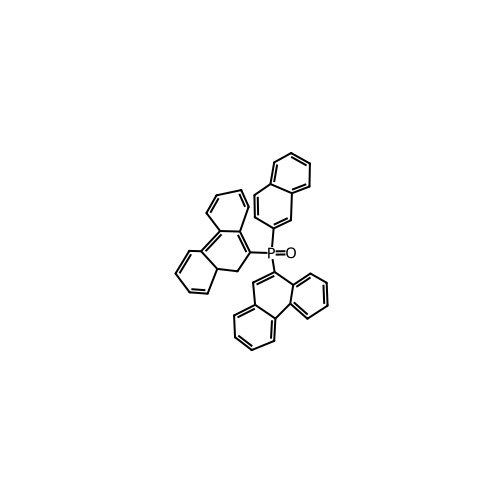 O=P(C1=c2ccccc2=C2C=CC=CC2C1)(c1ccc2ccccc2c1)c1cc2ccccc2c2ccccc12